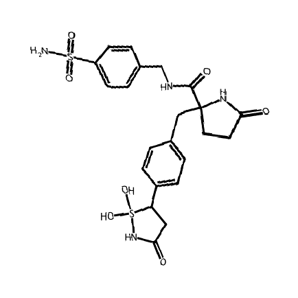 NS(=O)(=O)c1ccc(CNC(=O)C2(Cc3ccc(C4CC(=O)NS4(O)O)cc3)CCC(=O)N2)cc1